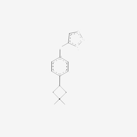 FC1(F)CC(c2ccc(Oc3c[nH]nn3)cc2)C1